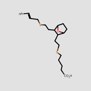 CCCC=CCSCCC1C2CCC(O2)C1CCSCCCCC(=O)O